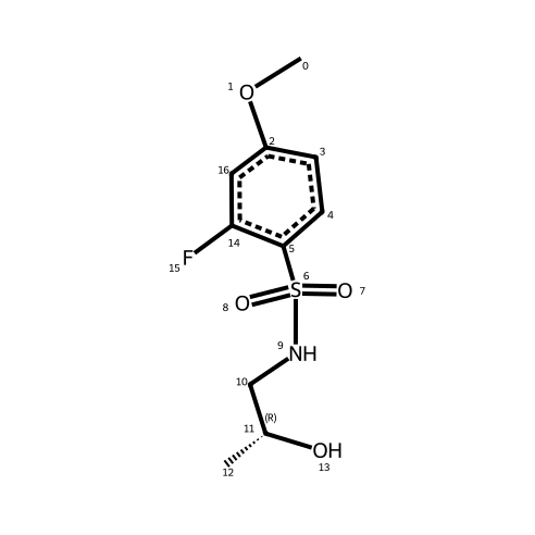 COc1ccc(S(=O)(=O)NC[C@@H](C)O)c(F)c1